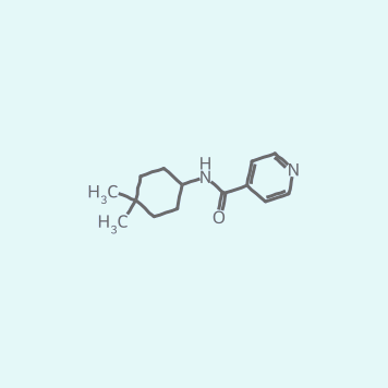 CC1(C)CCC(NC(=O)c2ccncc2)CC1